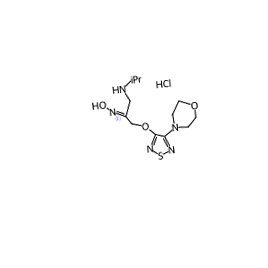 CC(C)NC/C(COc1nsnc1N1CCOCC1)=N\O.Cl